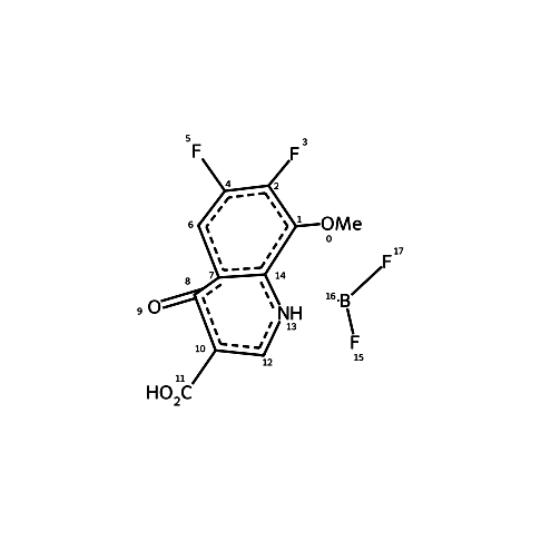 COc1c(F)c(F)cc2c(=O)c(C(=O)O)c[nH]c12.F[B]F